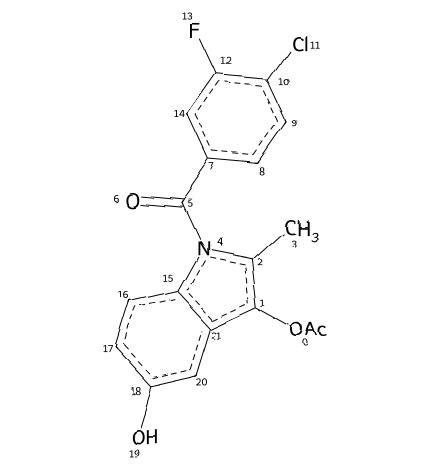 CC(=O)Oc1c(C)n(C(=O)c2ccc(Cl)c(F)c2)c2ccc(O)cc12